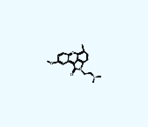 COc1ccc2nc3c(C)ccc4c3c(c2c1)C(=O)N4CCN(C)C